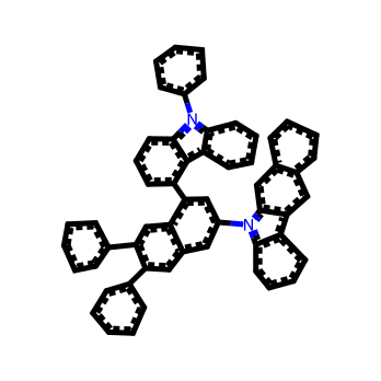 c1ccc(-c2cc3cc(-n4c5ccccc5c5cc6ccccc6cc54)cc(-c4cccc5c4c4ccccc4n5-c4ccccc4)c3cc2-c2ccccc2)cc1